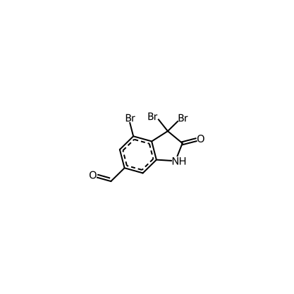 O=Cc1cc(Br)c2c(c1)NC(=O)C2(Br)Br